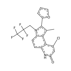 Cc1c(-c2ccco2)n(CC(F)(F)C(F)(F)F)c2ccc3[nH]c(=O)cc(Cl)c3c12